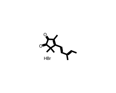 Br.CC=C(C)C=CC1=C(C)C(=O)C(=O)C1(C)C